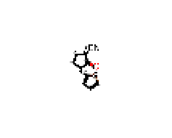 N#CC1CCCC1=O.c1ccsc1